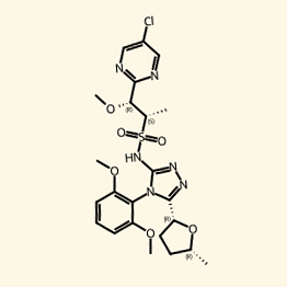 COc1cccc(OC)c1-n1c(NS(=O)(=O)[C@@H](C)[C@H](OC)c2ncc(Cl)cn2)nnc1[C@H]1CC[C@@H](C)O1